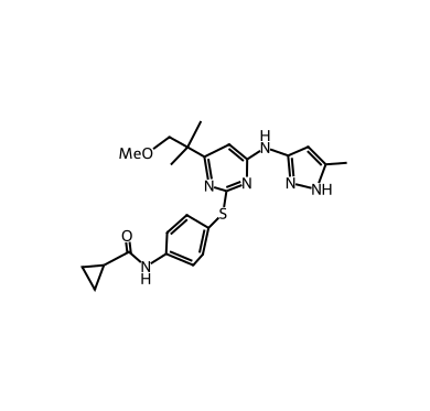 COCC(C)(C)c1cc(Nc2cc(C)[nH]n2)nc(Sc2ccc(NC(=O)C3CC3)cc2)n1